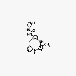 Cc1cnc2nc1Nc1ccc(NC(=O)N[C@H]3CCNC3)c(c1)CCc1cncc(c1)N2